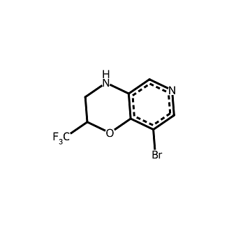 FC(F)(F)C1CNc2cncc(Br)c2O1